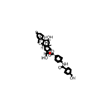 C[C@]12C=CC(=O)C=C1CC[C@@H]1[C@@H]2[C@@H](O)C[C@@]2(C)[C@H]1C[C@H]1O[C@@H](c3ccc(NC(=O)c4ccc(CO)cc4)cc3)O[C@]12C(=O)CO